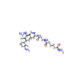 Cc1c(N)cncc1-c1cc2cc(NC(=O)CCNC(=O)CCCCC(N)=O)ncc2c(N)c1F